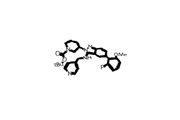 COc1cccc(F)c1-c1ccc2nn(C3CCCN(C(=O)OC(C)(C)C)C3)c(NCc3ccncc3)c2c1